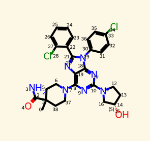 CC1(C(N)=O)CCN(c2nc(N3CC[C@H](O)C3)nc3c2nc(-c2ccccc2Cl)n3-c2ccc(Cl)cc2)CC1